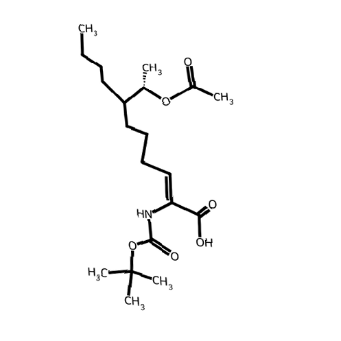 CCCCC(CCC/C=C(\NC(=O)OC(C)(C)C)C(=O)O)[C@H](C)OC(C)=O